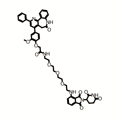 COc1cc(-c2cc(-c3ccccc3)nc3c2CC(=O)Nc2ccccc2-3)ccc1OCC(=O)NCCOCCOCCOCCNc1cccc2c1C(=O)N(C1CCC(=O)NC1=O)C2=O